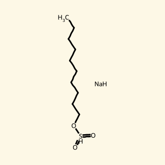 CCCCCCCCCCO[SH](=O)=O.[NaH]